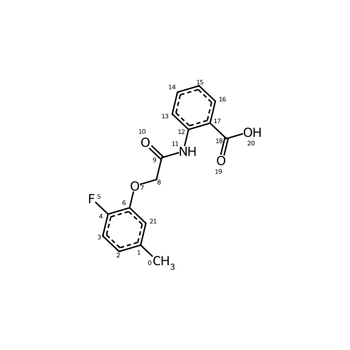 Cc1ccc(F)c(OCC(=O)Nc2ccccc2C(=O)O)c1